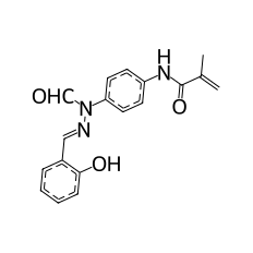 C=C(C)C(=O)Nc1ccc(N(C=O)N=Cc2ccccc2O)cc1